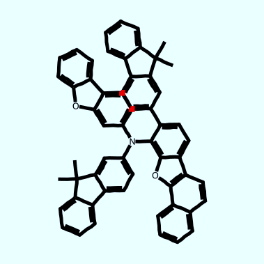 CC1(C)c2ccccc2-c2ccc(-c3ccc4c(oc5c6ccccc6ccc45)c3N(c3ccc4c(c3)C(C)(C)c3ccccc3-4)c3ccc4c(c3)oc3ccccc34)cc21